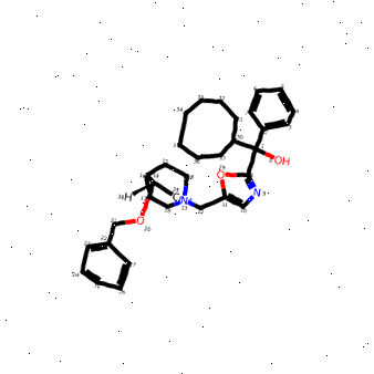 OC(c1ccccc1)(c1ncc(C[N+]23CCC(CC2)[C@@H](OCc2ccccc2)C3)o1)C1CCCCCCC1